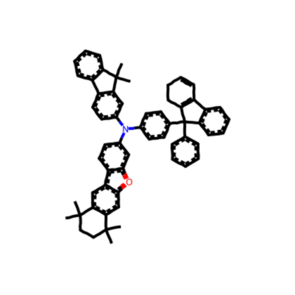 CC1(C)CCC(C)(C)c2cc3c(cc21)oc1cc(N(c2ccc(C4(c5ccccc5)C5=C(C=CCC5)c5ccccc54)cc2)c2ccc4c(c2)C(C)(C)c2ccccc2-4)ccc13